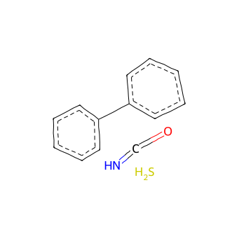 N=C=O.S.c1ccc(-c2ccccc2)cc1